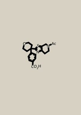 CC(=O)N1CCc2nc(C3(c4ccc(C(=O)O)cc4)CCOCC3)sc2C1